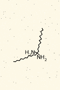 CCCCCCCCCCCCC(CN)(CN)CCCCCCCCCCCC